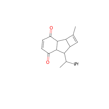 CC1=CC2C1C1C(=O)C=CC(=O)C1C2C(C)C(C)C